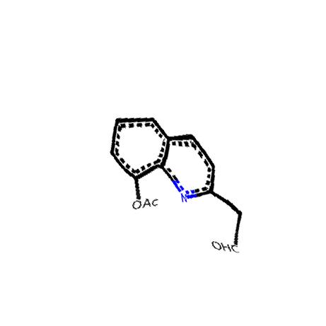 CC(=O)Oc1cccc2ccc(CC=O)nc12